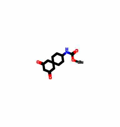 CC(C)(C)OC(=O)NC1CCC2(CC1)CC(=O)CC(=O)C2